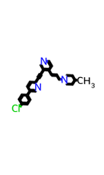 CC1CCN(CC=Cc2ccncc2C#Cc2ccc(-c3ccc(Cl)cc3)cn2)CC1